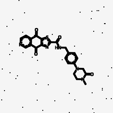 CN1CCN(c2ccc(CNC(=O)c3nc4c(s3)C(=O)c3ccncc3C4=O)cc2)CC1=O